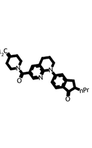 C=C1CCN(C(=O)c2cnc3c(c2)CCCN3c2ccc3c(c2)CC(CCC)C3=O)CC1